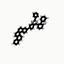 c1ccc(-c2nc(-c3cccc4oc5ccccc5c34)c3ccc(-c4ccc5c(ccc6ccc7c8ccccc8ccc7c65)c4)cc3n2)cc1